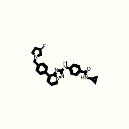 O=C(NC1CC1)c1ccc(Nc2nc3c(-c4ccc(CN5CC[C@@H](F)C5)cc4)cccn3n2)cc1